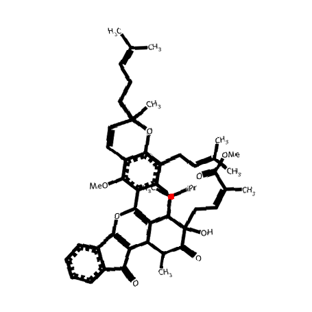 COC(=O)/C(C)=C\CC1(O)C(=O)C(C)C2C3=C(OC4=C2C1(C(C)C(C)C)Oc1c(CC=C(C)C)c2c(c(OC)c14)C=CC(C)(CCC=C(C)C)O2)c1ccccc1C3=O